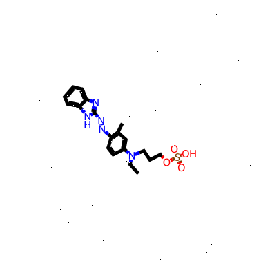 CCN(CCCOS(=O)(=O)O)c1ccc(N=Nc2nc3ccccc3[nH]2)c(C)c1